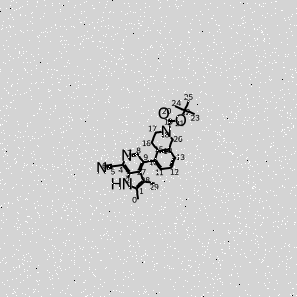 Cc1[nH]c2c(C#N)ncc(-c3cccc4c3CCN(C(=O)OC(C)(C)C)C4)c2c1C